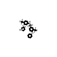 C[C@@]1(Oc2cc(NS(=O)(=O)c3ccc(Oc4ccccc4)c(C(F)(F)F)c3)ccc2C(F)(F)F)CCNC1